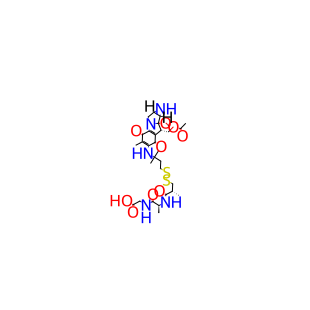 CO[C@@]12[C@H](COC(C)=O)C3=C(C(=O)C(C)=C(NC(C)(C)CCSSC[C@H](C)C(=O)N[C@@H](C)C(=O)NCC(=O)O)C3=O)N1C[C@@H]1N[C@@H]12